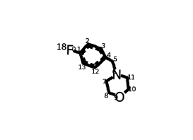 [18F]c1ccc(CN2CCOCC2)cc1